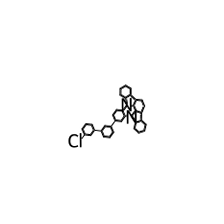 Clc1cccc(-c2cccc(-c3ccc4c(c3)n3c5ccccc5c5ccc6c7ccccc7n4c6c53)c2)c1